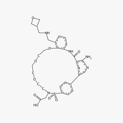 Nc1ncc2nc1C(=O)Nc1cccc(CNCC3COC3)c1OCCOCCOCCN(CC(=O)O)S(=O)(=O)c1ccc-2cc1